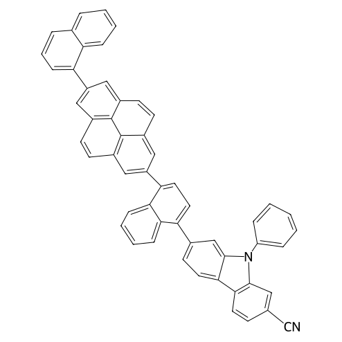 N#Cc1ccc2c3ccc(-c4ccc(-c5cc6ccc7cc(-c8cccc9ccccc89)cc8ccc(c5)c6c78)c5ccccc45)cc3n(-c3ccccc3)c2c1